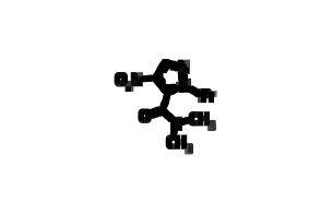 CC(C)n1ncc([N+](=O)[O-])c1C(=O)N(C)C